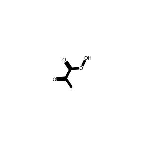 CC(=O)C(=O)OO